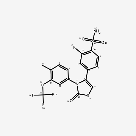 Cc1ccc(-n2c(-c3ccc(S(N)(=O)=O)c(F)c3)csc2=O)cc1OC(F)(F)F